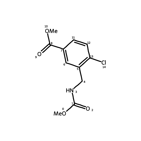 COC(=O)NCc1cc(C(=O)OC)ccc1Cl